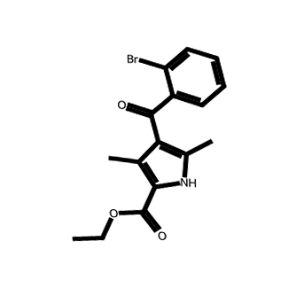 CCOC(=O)c1[nH]c(C)c(C(=O)c2ccccc2Br)c1C